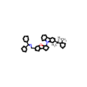 Cc1ccccc1C(C)(C)c1ccc2c3ccccc3n(-c3cccc4c3oc3cc(CN=C(c5ccccc5)c5ccccc5)ccc34)c2c1